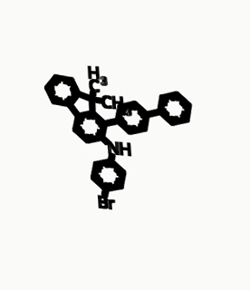 CC1(C)c2ccccc2-c2ccc(Nc3ccc(Br)cc3)c(-c3ccc(-c4ccccc4)cc3)c21